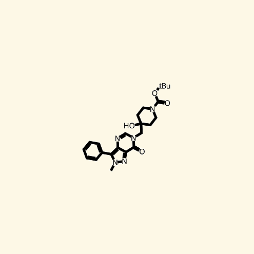 Cn1nc2c(=O)n(CC3(O)CCN(C(=O)OC(C)(C)C)CC3)cnc2c1-c1ccccc1